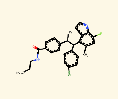 CCC[C@H](c1ccc(C(=O)NCCC(=O)O)cc1)C(c1ccc(Cl)cc1)c1c(C)cc(F)c2[nH]ccc12